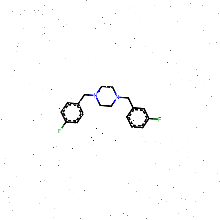 Fc1ccc(CN2CCN(Cc3cccc(F)c3)CC2)cc1